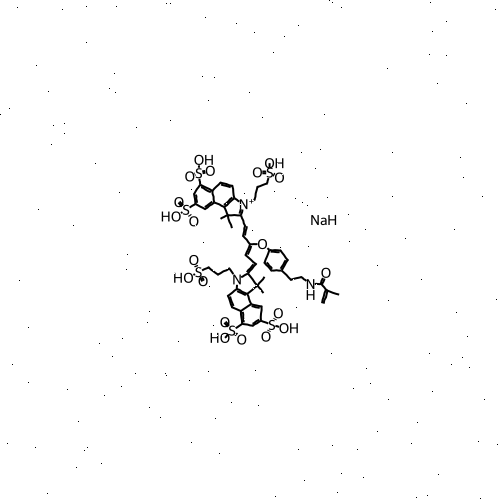 C=C(C)C(=O)NCCc1ccc(OC(=C\C=C2/N(CCCS(=O)(=O)O)c3ccc4c(S(=O)(=O)O)cc(S(=O)(=O)O)cc4c3C2(C)C)/C=C/C2=[N+](CCCS(=O)(=O)O)c3ccc4c(S(=O)(=O)O)cc(S(=O)(=O)O)cc4c3C2(C)C)cc1.[NaH]